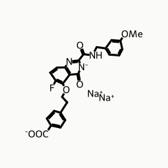 COc1cccc(CNC(=O)c2nc3ccc(F)c(OCCc4ccc(C(=O)[O-])cc4)c3c(=O)[n-]2)c1.[Na+].[Na+]